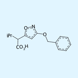 CC(C)C(C(=O)O)c1cc(OCc2ccccc2)no1